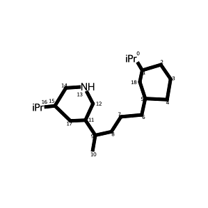 CC(C)C1CCCC(CCCC(C)C2CNCC(C(C)C)C2)C1